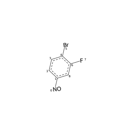 O=Nc1ccc(Br)c(F)c1